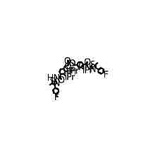 Cc1sc(NC(=O)c2ccc(CO[PH](=O)OCc3ccc(C(=O)Nc4nc(-c5ccc(F)cc5)c(C)s4)c(C(C)C)c3C(C)C)c(C(C)C)c2C(C)C)nc1-c1ccc(F)cc1